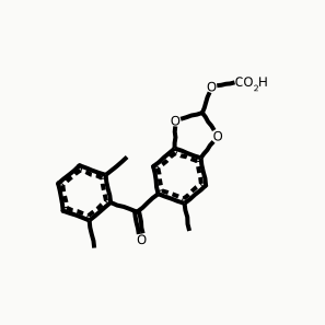 Cc1cc2c(cc1C(=O)c1c(C)cccc1C)OC(OC(=O)O)O2